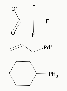 C=C[CH2][Pd+].O=C([O-])C(F)(F)F.PC1CCCCC1